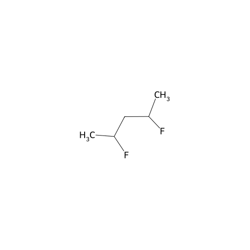 CC(F)CC(C)F